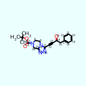 CC(C)(C)OC(=O)N1CCn2c(C#CC(=O)Cc3ccccc3)nnc2C1